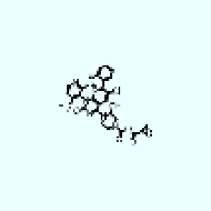 Cc1ccnc(C(C)C)c1-n1c(=O)nc(N2CCN(C(=O)OC(=O)C3CO3)CC2C)c2cc(Cl)c(-c3ccccc3F)nc21